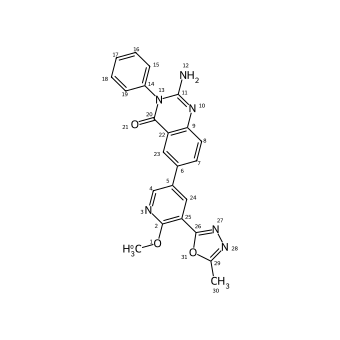 COc1ncc(-c2ccc3nc(N)n(-c4ccccc4)c(=O)c3c2)cc1-c1nnc(C)o1